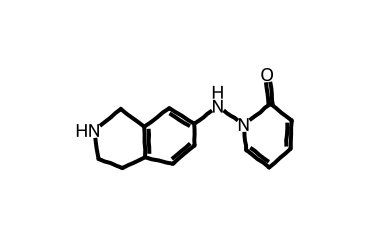 O=c1ccccn1Nc1ccc2c(c1)CNCC2